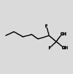 CCCCCC(F)C(O)(O)F